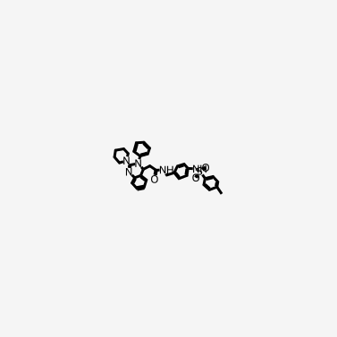 Cc1ccc(S(=O)(=O)Nc2ccc(CNC(=O)CC3c4cc#ccc4N=C(N4CCCCC4)N3c3ccccc3)cc2)cc1